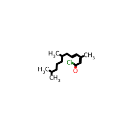 CC(C=CCC(C)CCCC(C)C)=CC(=O)Cl